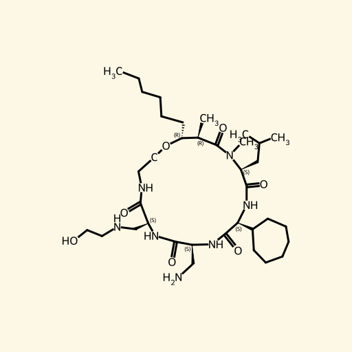 CCCCCC[C@H]1OCCNC(=O)[C@H](CNCCO)NC(=O)[C@H](CN)NC(=O)[C@H](C2CCCCCC2)NC(=O)[C@H](CC(C)C)N(C)C(=O)[C@@H]1C